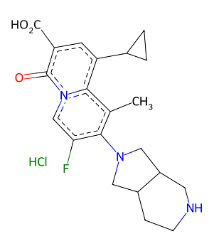 Cc1c(N2CC3CCNCC3C2)c(F)cn2c(=O)c(C(=O)O)cc(C3CC3)c12.Cl